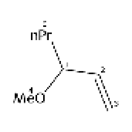 [CH2]CCC(C=C)OC